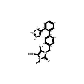 CCCc1c(C=O)n(C(C)C)c(=O)n1Cc1ccc(-c2ccccc2-c2nnn[nH]2)cc1